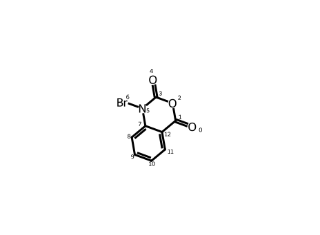 O=c1oc(=O)n(Br)c2ccccc12